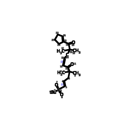 CC(C)(C/C=C/S(=O)(=O)C(C)(C)C)C(=O)/C=C\CC(C)(C)C(=O)C1=CCCC1